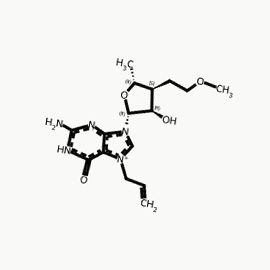 C=CC[n+]1cn([C@@H]2O[C@H](C)[C@@H](CCOC)[C@H]2O)c2nc(N)[nH]c(=O)c21